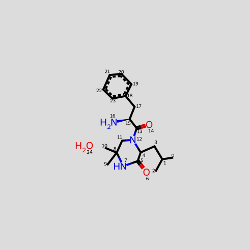 CC(C)CC1C(=O)NC(C)(C)CN1C(=O)[C@@H](N)Cc1ccccc1.O